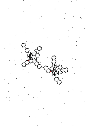 c1ccc(-c2ccc(-c3nc(-c4ccc5ccccc5c4)nc(-c4c(-n5c6ccccc6c6cc7ccc(-c8ccc9cc(-c%10nc(-c%11ccc%12ccccc%12c%11)nc(-c%11c(-n%12c%13ccccc%13c%13cc%14ccccc%14cc%13%12)ccc%12c%11sc%11ccccc%11%12)n%10)ccc9c8)cc7cc65)ccc5c4sc4ccccc45)n3)cc2)cc1